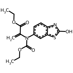 C=C(C(=O)OCC)N(C(=O)OCC)c1ccc2nc(O)sc2c1